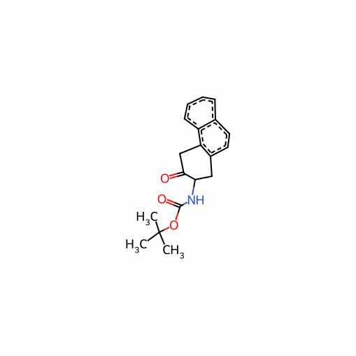 CC(C)(C)OC(=O)NC1Cc2ccc3ccccc3c2CC1=O